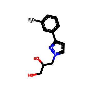 OCC(O)Cn1ccc(-c2cccc(C(F)(F)F)c2)n1